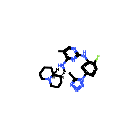 Cc1cnc(Nc2cc(-n3nnnc3C)ccc2F)nc1NC[C@@H]1CCCN2CCCC[C@H]12